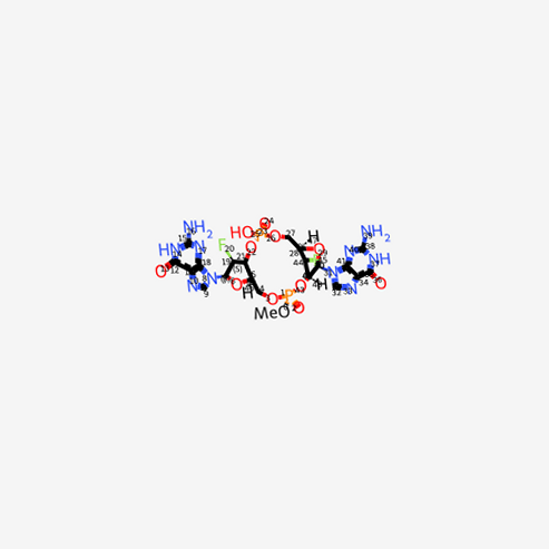 COP1(=O)OC[C@H]2O[C@@H](n3cnc4c(=O)[nH]c(N)nc43)[C@@H](F)C2OP(=O)(O)OC[C@H]2O[C@@H](n3cnc4c(=O)[nH]c(N)nc43)[C@@H](O1)C2F